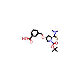 CN(C)C(=S)[C@@H]1C[C@@H](OCc2cccc(C(=O)O)c2)CN1C(=O)OC(C)(C)C